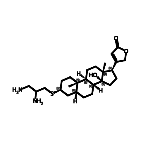 C[C@]12CC[C@H](SCC(N)CN)C[C@H]1CC[C@@H]1[C@@H]2CC[C@]2(C)[C@@H](C3=CC(=O)OC3)CC[C@]12O